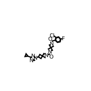 O=C(c1ccc(F)cc1Cl)N1CC2(C1)CN(C(=O)N1CC3(CC(n4cnc(C5CC5)n4)C3)C1)C2